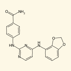 NC(=O)c1ccc(Nc2nccc(Nc3cccc4c3OCO4)n2)cc1